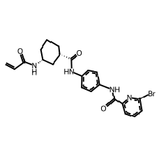 C=CC(=O)N[C@@H]1CCC[C@H](C(=O)Nc2ccc(NC(=O)c3cccc(Br)n3)cc2)C1